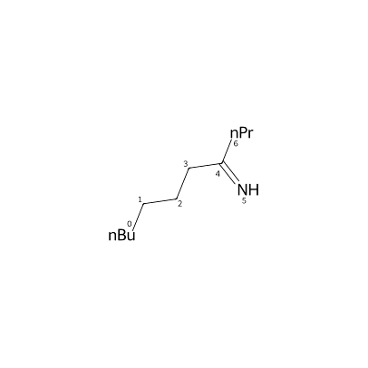 CCCCCCCC(=N)CCC